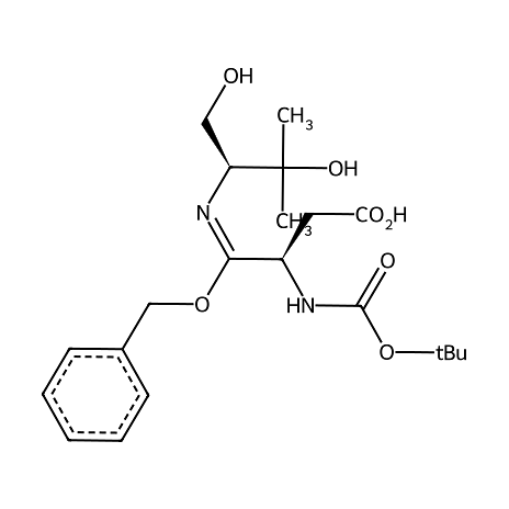 CC(C)(C)OC(=O)N[C@H](CC(=O)O)C(=N[C@@H](CO)C(C)(C)O)OCc1ccccc1